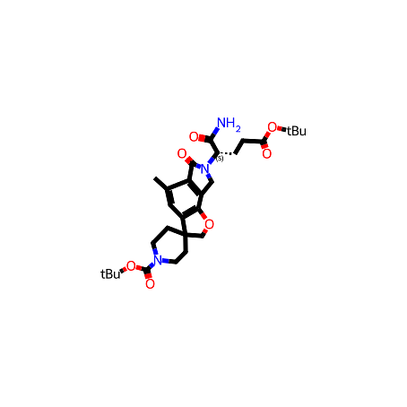 Cc1cc2c(c3c1C(=O)N([C@@H](CCC(=O)OC(C)(C)C)C(N)=O)C3)OCC21CCN(C(=O)OC(C)(C)C)CC1